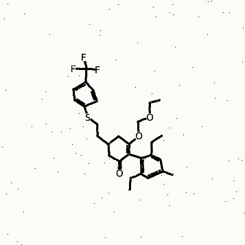 CCOCOC1=C(c2c(CC)cc(C)cc2CC)C(=O)CC(CCSc2ccc(C(F)(F)F)cc2)C1